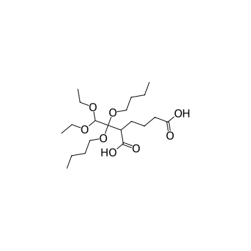 CCCCOC(OCCCC)(C(OCC)OCC)C(CCCC(=O)O)C(=O)O